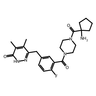 Cc1c(Cc2ccc(F)c(C(=O)N3CCN(C(=O)C4(N)CCCC4)CC3)c2)n[nH]c(=O)c1C